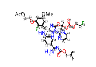 C=C(C)COC(=O)N=C(N)c1ccc(N[C@H](c2cc(OC)cc(OCCOC(C)=O)c2F)C2N=C(OC(C)(C)OC(=O)OCCF)N(c3ncccn3)N2)cc1